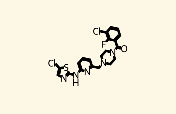 O=C(c1cccc(Cl)c1F)N1CCN(Cc2cccc(Nc3ncc(Cl)s3)n2)CC1